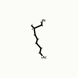 CC(=O)CCCCCC(C)CC(C)C